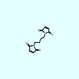 O=C1C=CC(=O)N1[CH]CC[CH]N1C(=O)C=CC1=O